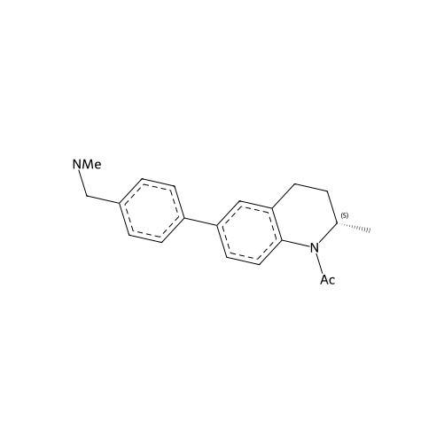 CNCc1ccc(-c2ccc3c(c2)CC[C@H](C)N3C(C)=O)cc1